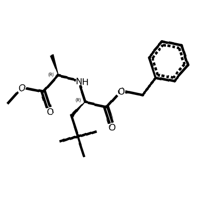 COC(=O)[C@@H](C)N[C@H](CC(C)(C)C)C(=O)OCc1ccccc1